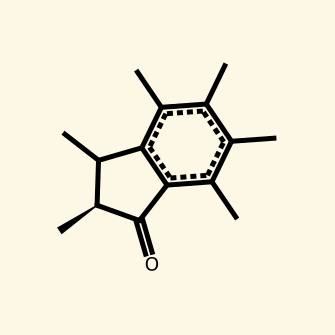 Cc1c(C)c(C)c2c(c1C)C(=O)[C@@H](C)C2C